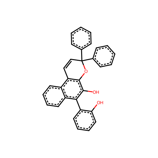 Oc1ccccc1-c1c(O)c2c(c3ccccc13)C=CC(c1ccccc1)(c1ccccc1)O2